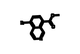 COC(=O)c1ccc(Br)c2ccncc12